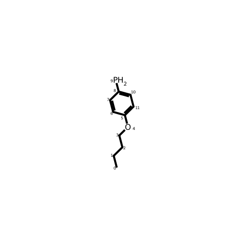 CCCCOc1ccc(P)cc1